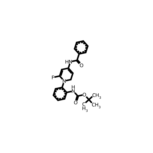 CC(C)(C)OC(=O)Nc1ccccc1N1CC=C(NC(=O)c2ccccc2)C=C1F